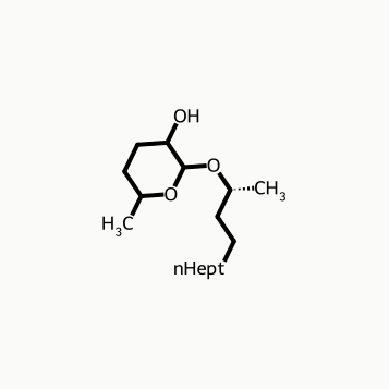 CCCCCCCCC[C@@H](C)OC1OC(C)CCC1O